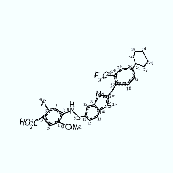 COc1cc(C(=O)O)c(F)cc1NSc1ccc2sc(-c3ccc(C4CCCCC4)cc3C(F)(F)F)nc2c1